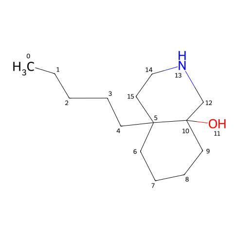 CCCCCC12CCCCC1(O)CNCC2